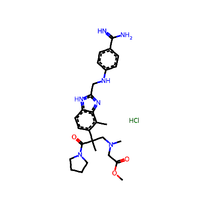 COC(=O)CN(C)CC(C)(C(=O)N1CCCC1)c1ccc2[nH]c(CNc3ccc(C(=N)N)cc3)nc2c1C.Cl